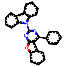 c1ccc(-c2nc(-n3c4ccccc4c4ccccc43)nc3oc4ccccc4c23)cc1